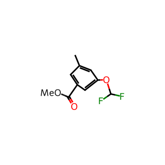 COC(=O)c1cc(C)cc(OC(F)F)c1